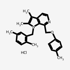 Cc1ccc(OCc2nccc3c(C)c(C)n(Cc4cc(C)ccc4C)c23)cc1.Cl